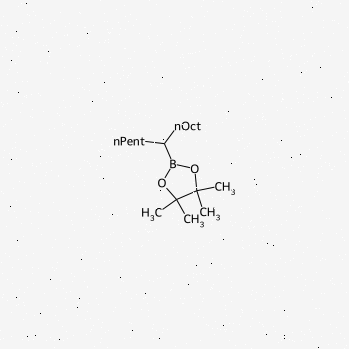 CCCCCCCCC(CCCCC)B1OC(C)(C)C(C)(C)O1